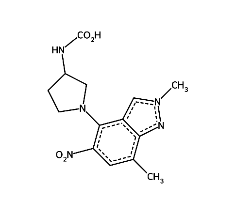 Cc1cc([N+](=O)[O-])c(N2CCC(NC(=O)O)C2)c2cn(C)nc12